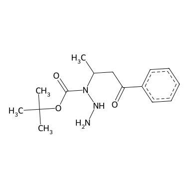 CC(CC(=O)c1ccccc1)N(NN)C(=O)OC(C)(C)C